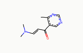 Cc1ncncc1C(=O)C=CN(C)C